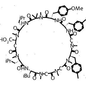 CC[C@H](C)[C@@H]1NC(=O)[C@H](CC(C)C)N(C)C(=O)C[C@@H](C(=O)O)N(C)C(=O)[C@H](CC(C)C)NC(=O)C(C)(C)N(C)C(=O)[C@H](Cc2ccc(OC)cc2)NC(=O)[C@H](Cc2cccc(I)c2)NC(=O)CN(C)C(=O)[C@@H](Cc2ccc(C)cc2)N(C)C(=O)CN(C)C(=O)CN(C)C1=O